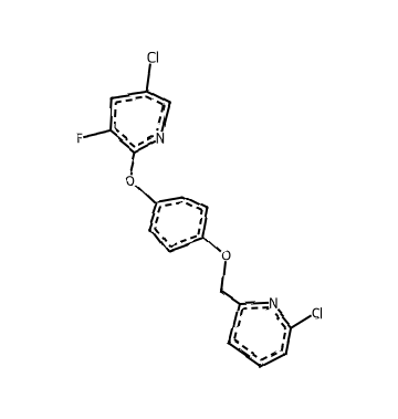 Fc1cc(Cl)cnc1Oc1ccc(OCc2cccc(Cl)n2)cc1